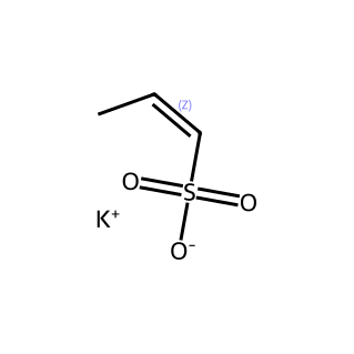 C/C=C\S(=O)(=O)[O-].[K+]